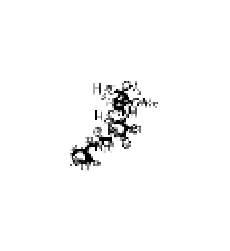 COC1C(Nc2cnn(CC(=O)NCc3ccncc3)c(=O)c2Br)C(C)C2CC1C2(C)C